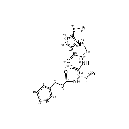 CC(C)C[C@H](NC(=O)OCc1ccccc1)C(=O)N[C@@H](CC(C)C)C(=O)c1noc(SC(C)C)n1